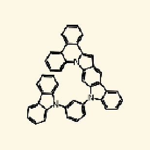 c1cc(-n2c3ccccc3c3ccccc32)cc(-n2c3ccccc3c3cc4cc5c6ccccc6c6ccccc6n5c4cc32)c1